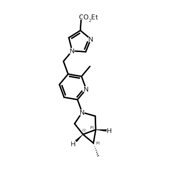 CCOC(=O)c1cn(Cc2ccc(N3C[C@@H]4[C@H](C)[C@@H]4C3)nc2C)cn1